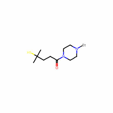 CCN1CCN(C(=O)CCC(C)(C)S)CC1